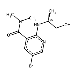 C[C@@H](CO)Nc1ncc(Br)cc1C(=O)N(C)C